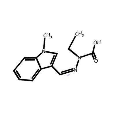 CCN(/N=C\c1cn(C)c2ccccc12)C(=O)O